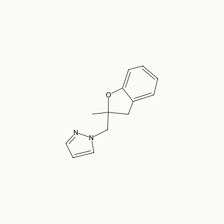 CC1(Cn2cccn2)Cc2ccccc2O1